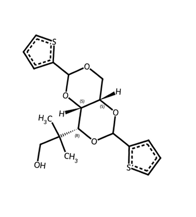 CC(C)(CO)[C@H]1OC(c2cccs2)O[C@H]2COC(c3cccs3)O[C@H]21